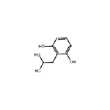 Oc1cccc(O)c1CC(O)O